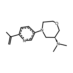 C=C(C)c1ccc(N2CCOC[C@@H](N(C)C)C2)cn1